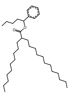 CCCCCCCCCCCCC(CCCCCCCCCC)C(=O)OC(CCCC)c1ccccc1